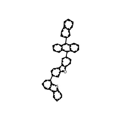 c1ccc2cc(-c3c4ccccc4c(-c4ccc5oc6cc(-c7cccc8c7sc7ccccc78)ccc6c5c4)c4ccccc34)ccc2c1